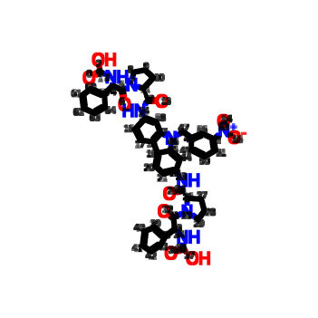 O=C(O)NC(C(=O)N1CCC[C@H]1C(=O)Nc1ccc2c3ccc(NC(=O)[C@@H]4CCCN4C(=O)C(NC(=O)O)c4ccccc4)cc3n(Cc3cccc([N+](=O)[O-])c3)c2c1)c1ccccc1